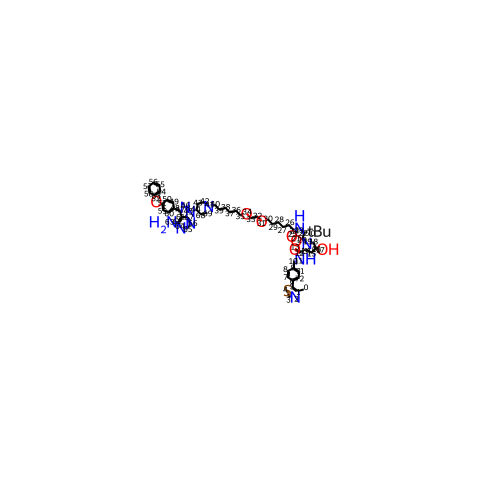 Cc1ncsc1-c1ccc(CNC(=O)[C@@H]2C[C@@H](O)CN2C(=O)C(NC(=O)CCCCCOCCOCCCCCCN2CCC(n3nc(-c4ccc(Oc5ccccc5)cc4)c4c(N)ncnc43)CC2)C(C)(C)C)cc1